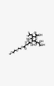 COCCOCCOC(=O)NCC(=O)NC1C(O)C(CC(C)C)C(C(=O)O)OC1C(O)C(O)CO